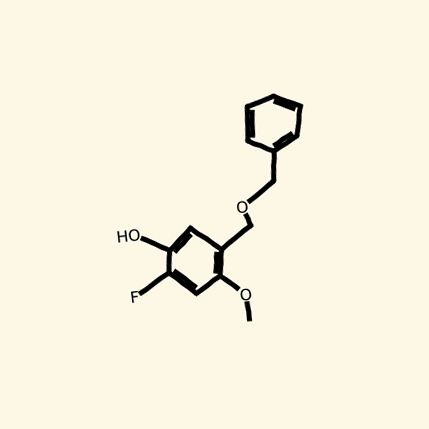 COc1cc(F)c(O)cc1COCc1ccccc1